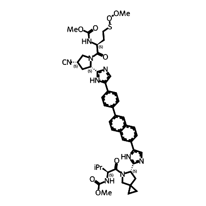 [C-]#[N+][C@H]1C[C@@H](c2ncc(-c3ccc(-c4ccc5cc(-c6cnc([C@@H]7CC8(CC8)CN7C(=O)[C@@H](NC(=O)OC)C(C)C)[nH]6)ccc5c4)cc3)[nH]2)N(C(=O)[C@H](CCSOOC)NC(=O)OC)C1